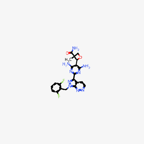 CC1(C(N)=O)COC1c1c(N)nc(-c2nn(Cc3c(F)cccc3F)c3nnccc23)nc1N